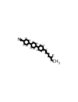 CCC(F)CCC=CC1CCC(C2CCC(C3CCC(C#N)CC3)CC2)CC1